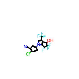 N#Cc1cc(-n2cc(C(F)(F)F)c3c2C(F)C(F)(F)C3O)ccc1Cl